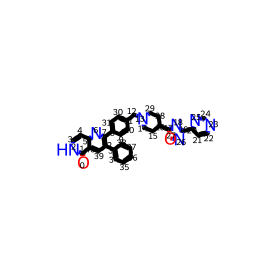 O=c1[nH]ccc2nc(-c3ccc(CN4CCC(c5nc(-c6ccncn6)no5)CC4)cc3)c(-c3ccccc3)cc12